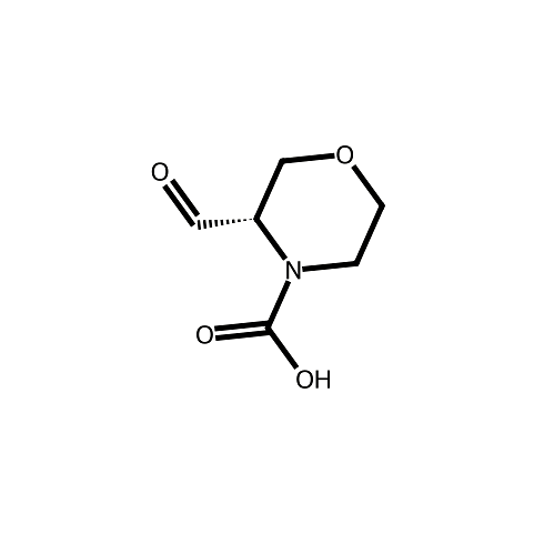 O=C[C@@H]1COCCN1C(=O)O